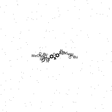 CC[C@H](C)CC(=O)NCSCCC1=NCC(c2ccc3c(c2)Oc2ccc(C4CN=C([C@@H]5CSCN5C(=O)[C@@H](NC(=O)OC)[C@@H](C)CC)N4)cc2C32CC2)N1